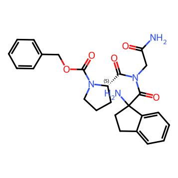 NC(=O)CN(C(=O)[C@@H]1CCCN1C(=O)OCc1ccccc1)C(=O)C1(N)CCc2ccccc21